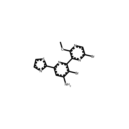 COc1ncc(Br)nc1-c1nc(-c2nccs2)cc(N)c1Br